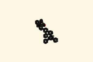 c1ccc(-c2cc(-c3ccccc3)nc(-c3cccc(-c4ccc(-c5ccc6c(c5)C5(c7ccccc7O6)c6ccccc6-c6ccccc65)cc4-c4ccccc4)c3)c2)cc1